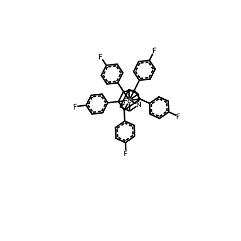 Fc1ccc([C]23[C]4(c5ccc(F)cc5)[C]5(c6ccc(F)cc6)[C]6(c7ccc(F)cc7)[C]2(c2ccc(F)cc2)[Fe]34562789[CH]3[CH]2[CH]7[N]8[CH]39)cc1